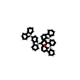 c1cc(-n2c3ccccc3c3ccccc32)c(-c2ccc(-n3c4ccccc4c4cc(-n5c6ccccc6c6ccccc65)ccc43)cc2)c(-n2c3ccccc3c3ccccc32)c1